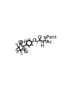 CCCCC[C@H](NC(=O)COc1ccc(C2=[N+]([O-])C(C)(C)C(C)(C)N2O)cc1)C(C)=O